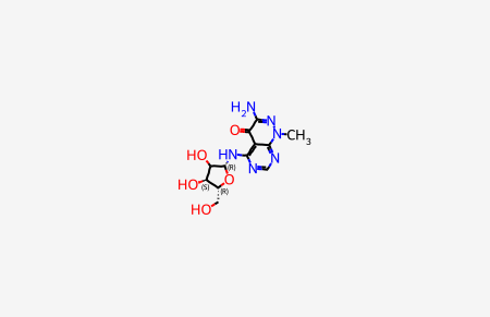 Cn1nc(N)c(=O)c2c(N[C@@H]3O[C@H](CO)[C@@H](O)C3O)ncnc21